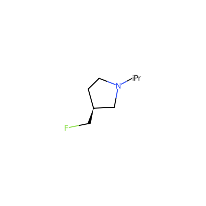 CC(C)N1CC[C@H](CF)C1